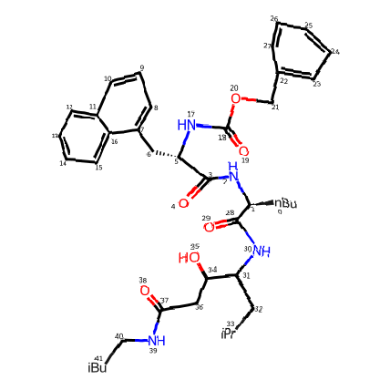 CCCC[C@H](NC(=O)[C@H](Cc1cccc2ccccc12)NC(=O)OCc1ccccc1)C(=O)NC(CC(C)C)C(O)CC(=O)NCC(C)CC